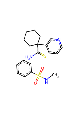 CNS(=O)(=O)c1ccccc1.NC(=S)C1(c2cccnc2)CCCCC1